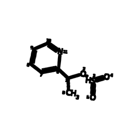 CC(O[SH](=O)=O)c1ccccn1